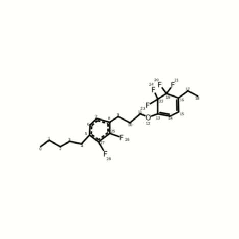 CCCCCc1ccc(CCCOC2=CC=C(CC)C(F)(F)C2(F)F)c(F)c1F